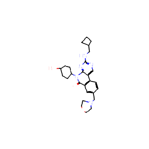 O=c1c2cc(CN3CCOCC3)ccc2c2cnc(NCC3CCC3)nc2n1C1CCC(O)CC1